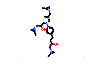 CC(CN(CC(O)CN1CC1C)c1ccc(CCC(O)CN2CC2C)cc1)CN1CC1C